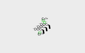 C=CC(=O)[O-].C=CC(=O)[O-].C=CC(=O)[O-].[Cl-].[Cl-].[Cl-].[Cr+3].[Cr+3]